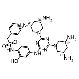 N[C@@H]1C[C@H](N)CN(c2nc(Nc3ccc(NS(=O)(=O)Cc4ccccc4)c(O)c3)nc(N3C[C@H](N)C[C@H](N)C3)n2)C1